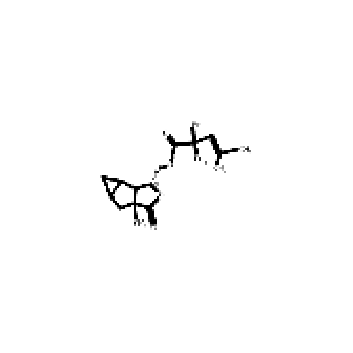 CC(C)=CC(C)(C(=O)OC[C@@H]1OC(=O)C2(C)CC3CC3C12)C(C)C